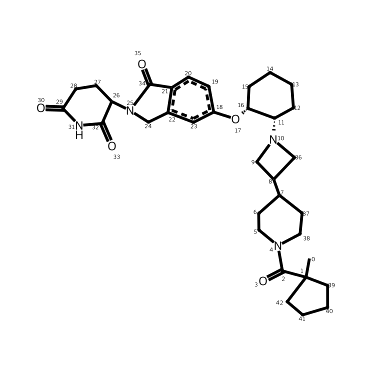 CC1(C(=O)N2CCC(C3CN([C@H]4CCCC[C@H]4Oc4ccc5c(c4)CN(C4CCC(=O)NC4=O)C5=O)C3)CC2)CCCC1